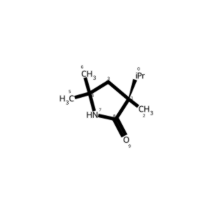 CC(C)[C@]1(C)CC(C)(C)NC1=O